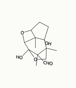 CC12C3CCC1(O)C1(C)COC(O)(C2O3)C1(C)C=O